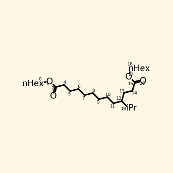 CCCCCCOC(=O)CCCCCCCCC(CCC(=O)OCCCCCC)C(C)C